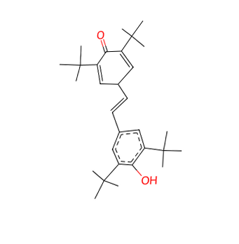 CC(C)(C)C1=CC(C=Cc2cc(C(C)(C)C)c(O)c(C(C)(C)C)c2)C=C(C(C)(C)C)C1=O